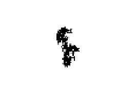 CCc1ccc(Oc2cccc(C(=O)NCC(=O)N3C[C@H](OC(F)F)C[C@H]3C(=O)NCc3cc4cnccc4[nH]3)c2)s1